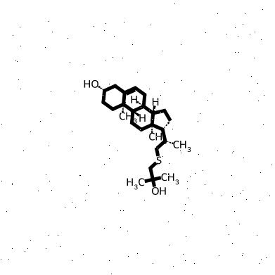 C[C@H](CSCC(C)(C)O)[C@H]1CC[C@H]2[C@@H]3CC=C4C[C@@H](O)CC[C@]4(C)[C@H]3CC[C@]12C